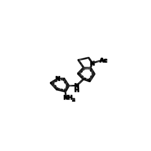 CC(=O)N1CCc2cc(Nc3cnccc3N)ccc21